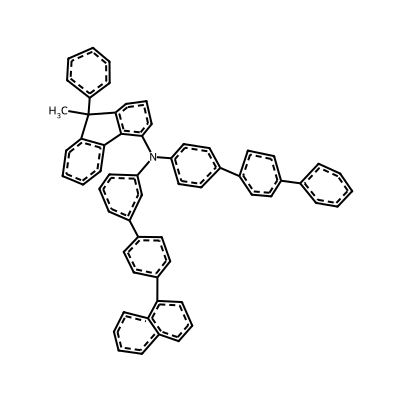 CC1(c2ccccc2)c2ccccc2-c2c(N(c3ccc(-c4ccc(-c5ccccc5)cc4)cc3)c3cccc(-c4ccc(-c5cccc6ccccc56)cc4)c3)cccc21